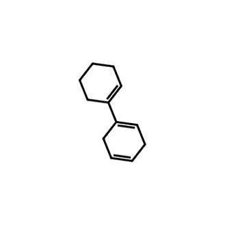 C1=CCC(C2=CCCCC2)=CC1